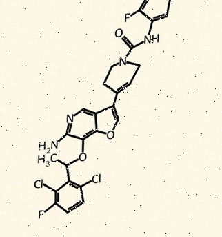 CC(Oc1c(N)ncc2c(C3=CCN(C(=O)Nc4ccccc4F)CC3)coc12)c1c(Cl)ccc(F)c1Cl